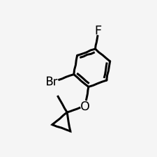 CC1(Oc2ccc(F)cc2Br)CC1